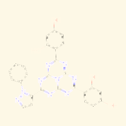 Oc1ccc(C2=NC3=NC(c4ccc(O)cc4O)=NC4=NC(c5ccnn5-c5ccccc5)=NC(=N2)N34)c(O)c1